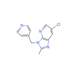 Cc1nc2cc(Cl)cnc2n1Cc1ccncc1